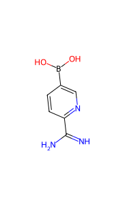 N=C(N)c1ccc(B(O)O)cn1